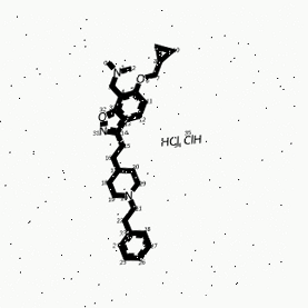 CN(C)Cc1c(OCC2CC2)ccc2c(CCC3CCN(CCc4ccccc4)CC3)noc12.Cl.Cl